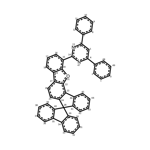 c1ccc(-c2cc(-c3ccccc3)nc(-c3cccc4c3oc3c5c(ccc34)C3(c4ccccc4-c4ccccc43)c3ccccc3-5)n2)cc1